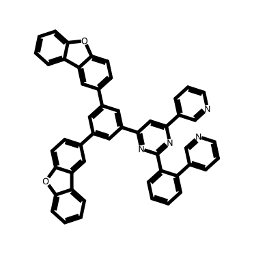 c1cncc(-c2cc(-c3cc(-c4ccc5oc6ccccc6c5c4)cc(-c4ccc5oc6ccccc6c5c4)c3)nc(-c3ccccc3-c3cccnc3)n2)c1